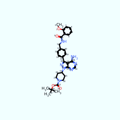 COc1ccccc1C(=O)NCc1ccc(-c2nn(C3CCN(C(=O)OC(C)(C)C)CC3)c3ncnc(N)c23)cc1